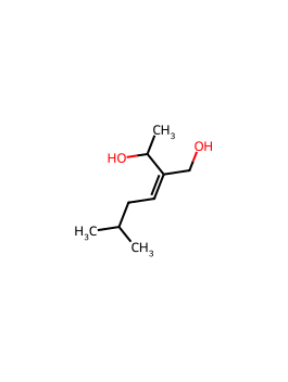 CC(C)CC=C(CO)C(C)O